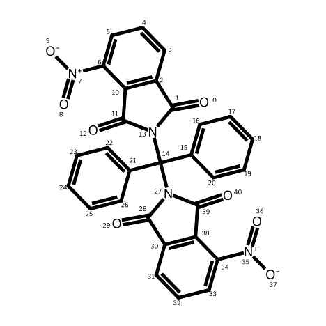 O=C1c2cccc([N+](=O)[O-])c2C(=O)N1C(c1ccccc1)(c1ccccc1)N1C(=O)c2cccc([N+](=O)[O-])c2C1=O